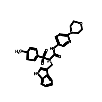 Cc1ccc(S(=O)(=O)[C@@H](Cc2c[nH]c3ccccc23)C(=O)Nc2cnc(N3CCOCC3)nc2)cc1